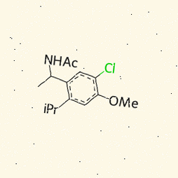 COc1cc(C(C)C)c(C(C)NC(C)=O)cc1Cl